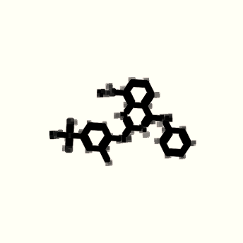 CCS(=O)(=O)c1ccc(Nc2nc(Nc3ccccc3)c3cccc(OC)c3n2)c(C)c1